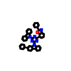 c1ccc(-c2ccc3c4ccccc4n(-c4nc(-c5cccc6nc(-c7ccccc7)oc56)nc(-n5c6ccccc6c6ccccc65)n4)c3c2)cc1